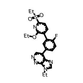 CCOc1nc(S(=O)(=O)CC)ccc1-c1cc(-c2cnnc3c2ncn3CC)ccc1F